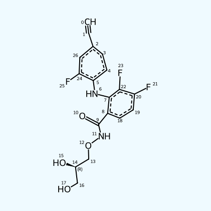 C#Cc1ccc(Nc2c(C(=O)NOC[C@H](O)CO)ccc(F)c2F)c(F)c1